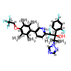 Bc1c(B)c(-c2ccc(C(F)(F)C(O)(c3ccc(F)cc3F)C(B)(B)n3cncn3)nc2)c(B)c(B)c1OCC(F)(F)F